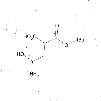 CC(C)(C)OC(=O)C(CC(N)O)C(=O)O